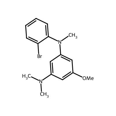 COc1cc(N(C)C)cc(N(C)c2ccccc2Br)c1